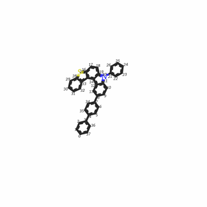 c1ccc(-c2ccc(-c3ccc4c(c3)c3c5c(ccc3n4-c3ccccc3)sc3ccccc35)cc2)cc1